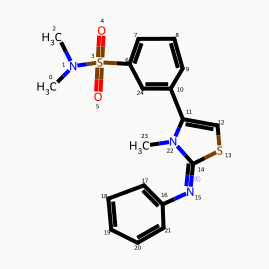 CN(C)S(=O)(=O)c1cccc(-c2cs/c(=N/c3ccccc3)n2C)c1